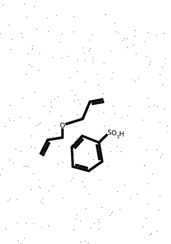 C=CCOCC=C.O=S(=O)(O)c1ccccc1